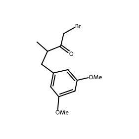 COc1cc(CC(C)C(=O)CBr)cc(OC)c1